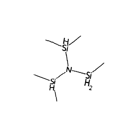 C[SiH2]N([SiH](C)C)[SiH](C)C